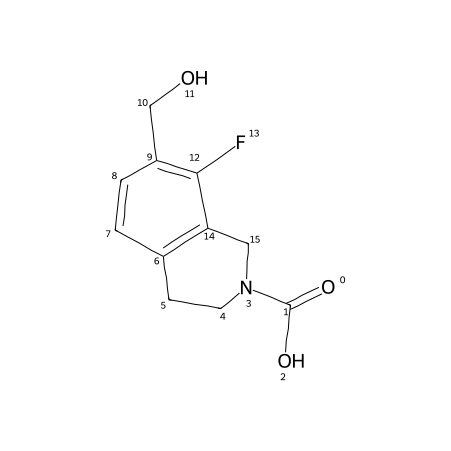 O=C(O)N1CCc2ccc(CO)c(F)c2C1